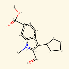 COC(=O)c1ccc2c(C3CCCC3)c(C=O)n(C)c2c1